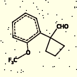 O=CC1(c2ccccc2OC(F)(F)F)CCC1